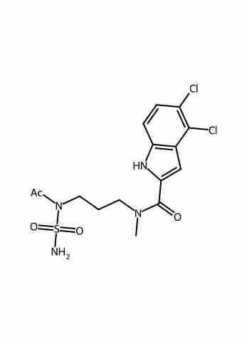 CC(=O)N(CCCN(C)C(=O)c1cc2c(Cl)c(Cl)ccc2[nH]1)S(N)(=O)=O